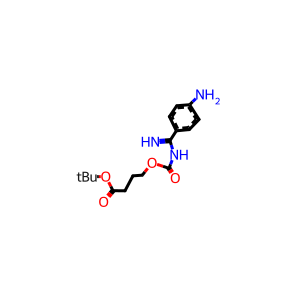 CC(C)(C)OC(=O)CCCOC(=O)NC(=N)c1ccc(N)cc1